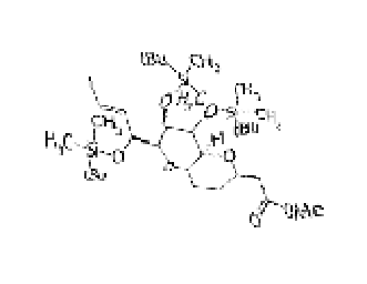 COC(=O)C[C@H]1CCC2O[C@@H](C(/C=C/I)O[Si](C)(C)C(C)(C)C)[C@@H](O[Si](C)(C)C(C)(C)C)C(O[Si](C)(C)C(C)(C)C)[C@H]2O1